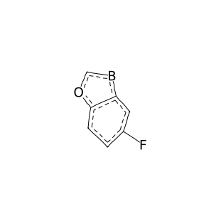 Fc1ccc2ocbc2c1